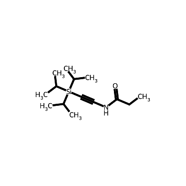 CCC(=O)NC#C[Si](C(C)C)(C(C)C)C(C)C